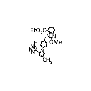 CCOC(=O)c1cccc2nc(OC)n(Cc3ccc(-n4cc(C)cc4-c4nnn[nH]4)cc3)c12